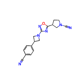 N#Cc1ccc(C2CN(c3noc(C4CCN(C#N)C4)n3)C2)cc1